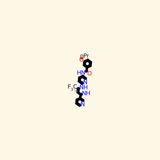 CCCOc1cccc(C(=O)Nc2ccc(N/C(=C\C(=N)c3cccnc3)C(F)(F)F)nc2)c1